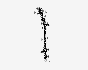 CCC(=O)NCCCCC(NC(=O)COCCOCCNC(=O)COCCOCCNC(=O)CCC(NC(=O)C1CCC(CNC(=O)CC(C)CC(C)(C)CC(=O)O)CC1)C(=O)O)C(=O)O